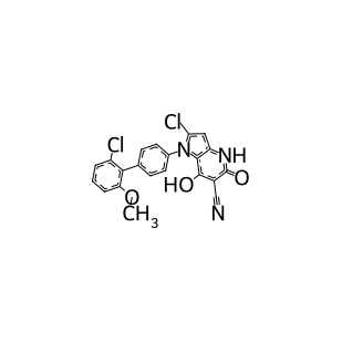 COc1cccc(Cl)c1-c1ccc(-n2c(Cl)cc3[nH]c(=O)c(C#N)c(O)c32)cc1